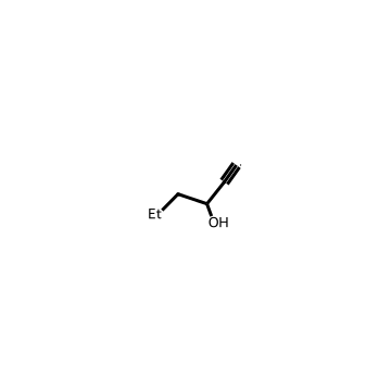 [C]#CC(O)CCC